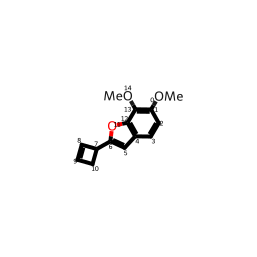 COc1ccc2cc(C3C=CC3)oc2c1OC